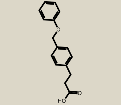 O=C(O)CCc1ccc(COc2ccccc2)cc1